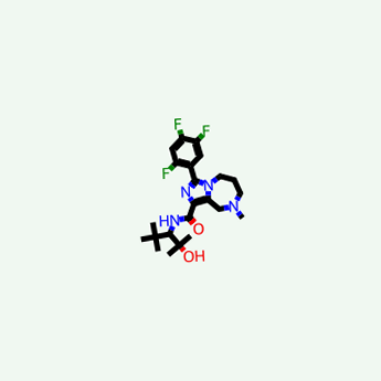 CN1CCCn2c(-c3cc(F)c(F)cc3F)nc(C(=O)NC(C(C)(C)C)C(C)(C)O)c2C1